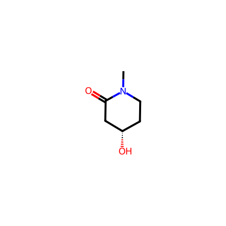 CN1CC[C@H](O)CC1=O